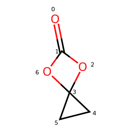 O=C1OC2(CC2)O1